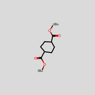 CCCCOC(=O)C1CCC(C(=O)OC(C)(C)C)CC1